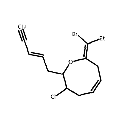 C#CC=CCC1OC(=C(Br)CC)CC=CCC1Cl